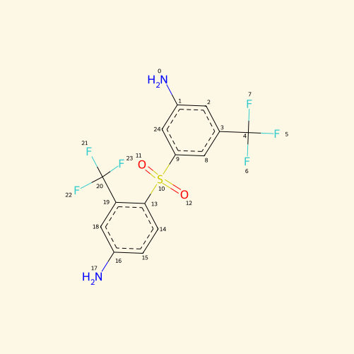 Nc1cc(C(F)(F)F)cc(S(=O)(=O)c2ccc(N)cc2C(F)(F)F)c1